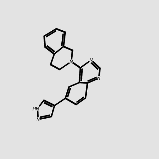 c1ccc2c(c1)CCN(c1ncnc3ccc(-c4cn[nH]c4)cc13)C2